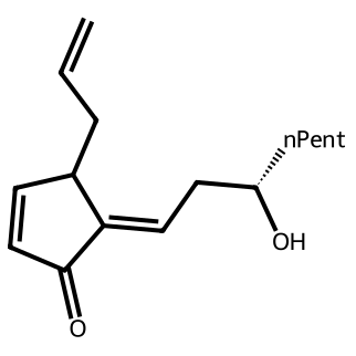 C=CCC1C=CC(=O)/C1=C/C[C@@H](O)CCCCC